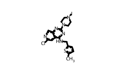 Cc1ccc(CNc2nc(N3CCN(I)CC3)nc3cnc(Cl)cc23)s1